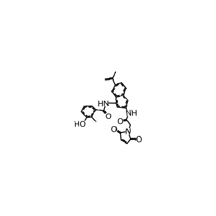 C=C(C)c1ccc2cc(NC(=O)CN3C(=O)C=CC3=O)cc(NC(=O)c3cccc(O)c3C)c2c1